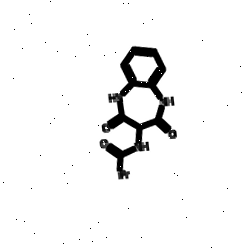 CC(C)C(=O)NC1C(=O)Nc2ccccc2NC1=O